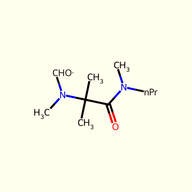 CCCN(C)C(=O)C(C)(C)N(C)[C]=O